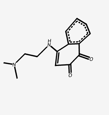 CN(C)CCNC1=CC(=O)C(=O)c2ccccc21